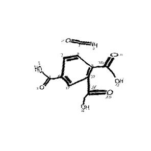 N=C=O.O=C(O)c1ccc(C(=O)O)c(C(=O)O)c1